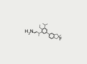 CCc1c(C(C)C)cc(-c2ccc3c(c2)CC(C)(F)C3)cc1C(C)/C=C/N